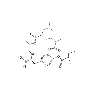 CCC(C)C(=O)Oc1ccc(C[C@H](NCC(C)OC(=O)CCC(C)C)C(=O)OC)cc1OC(=O)C(C)CC